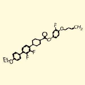 C=CCCOc1ccc(OC(=O)C2CCC(c3ccc(-c4ccc(OCC)cc4)c(F)c3F)CC2)cc1F